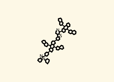 c1ccc(-n2c(-c3ccc(-c4ccc5c(-c6ccc7ccccc7c6)c6cc(-c7ccc8sc9c(-c%10ccc%11c(-c%12ccc%13ccccc%13c%12)c%12ccccc%12c(-c%12ccc%13ccccc%13c%12)c%11c%10)nccc9c8c7)ccc6c(-c6ccc7ccccc7c6)c5c4)cc3)nc3ccccc32)cc1